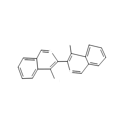 Oc1c(-c2ncc3ccccc3c2O)ncc2ccccc12